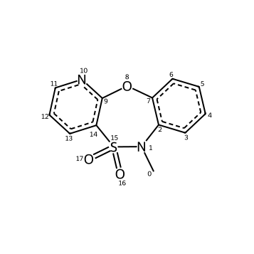 CN1c2ccccc2Oc2ncccc2S1(=O)=O